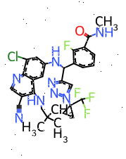 CNC(=O)c1cccc([C@H](Nc2cc(Cl)c3ncc(C#N)c(NCC(C)(C)C)c3c2)c2cn(C3(C(F)(F)F)CC3)nn2)c1F